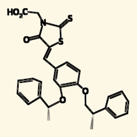 C[C@H](COc1ccc(/C=C2\SC(=S)N(CC(=O)O)C2=O)cc1O[C@H](C)c1ccccc1)c1ccccc1